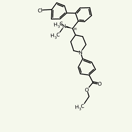 CCOC(=O)c1ccc(N2CCC([C@H](c3ccccc3-c3ccc(Cl)cc3)N(C)C)CC2)cc1